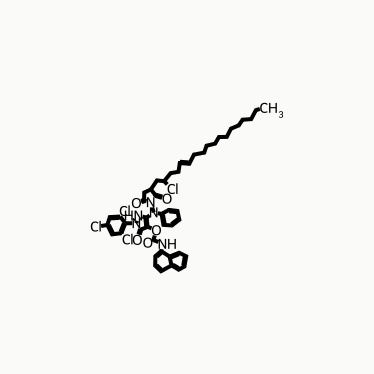 CCCCCCCCCCCCC=CCCC(Cl)CC1CC(=O)N(N(c2ccccc2)c2[nH]n(-c3c(Cl)cc(Cl)cc3Cl)c(=O)c2OC(=O)Nc2cccc3ccccc23)C1=O